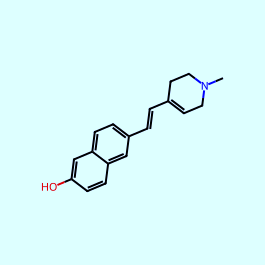 CN1CC=C(/C=C/c2ccc3cc(O)ccc3c2)CC1